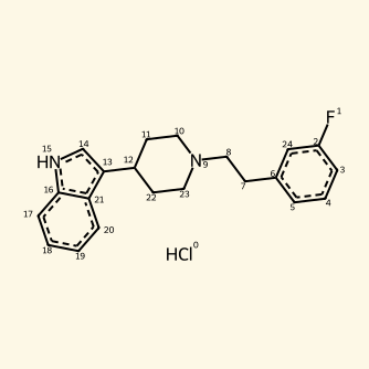 Cl.Fc1cccc(CCN2CCC(c3c[nH]c4ccccc34)CC2)c1